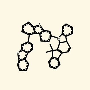 CC1(C)C2=C(C=CC3c4ccccc4N(c4ccc5c(c4)sc4cccc(-c6ccc7c(c6)sc6ccccc67)c45)C23)c2ccccc21